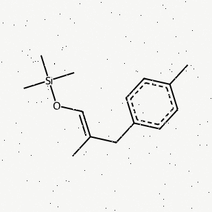 CC(=CO[Si](C)(C)C)Cc1ccc(C)cc1